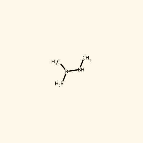 BB(C)BC